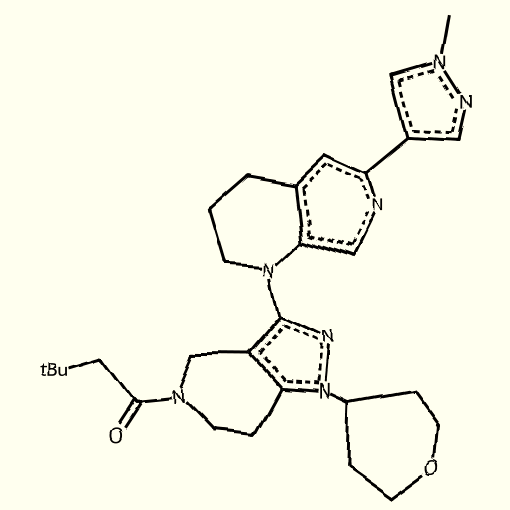 Cn1cc(-c2cc3c(cn2)N(c2nn(C4CCOCC4)c4c2CN(C(=O)CC(C)(C)C)CC4)CCC3)cn1